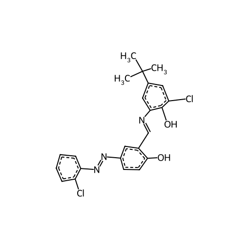 CC(C)(C)c1cc(Cl)c(O)c(/N=C/c2cc(/N=N/c3ccccc3Cl)ccc2O)c1